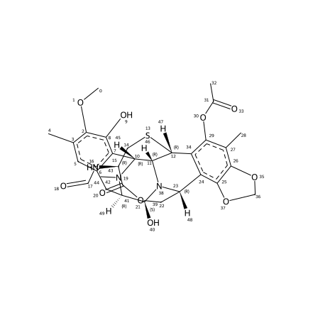 COc1c(C)cc2c(c1O)[C@@H]1[C@@H]3[C@@H]4SC[C@H](NC=O)C(=O)OC[C@@H](c5c6c(c(C)c(OC(C)=O)c54)OCO6)N3[C@@H](O)[C@@H](C2)N1C